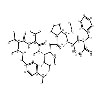 CC[C@H](C)[C@@H]([C@@H](CC(=O)N1CCC[C@H]1[C@H](OC)[C@@H](C)C(O)N[C@@H](Cc1ccccc1)C(=O)O)OC)N(C)C(=O)[C@@H](NC(=O)[C@H](C(C)C)N(C)CCc1ccc(N(C)C)cc1)C(C)C